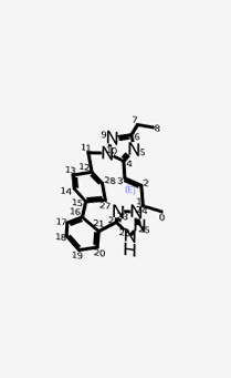 CC/C=C/c1nc(CC)nn1Cc1ccc(-c2ccccc2-c2nnn[nH]2)cc1